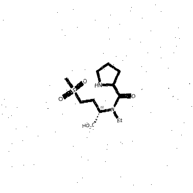 CCN(C(=O)C1CCCN1)[C@@H](CCS(C)(=O)=O)C(=O)O